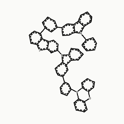 c1ccc(-n2c3ccccc3c3cc(-c4cccc(-c5cccc6sc7cc(-n8c9ccccc9c9cc(-c%10cccc(N%11c%12ccccc%12Oc%12ccccc%12%11)c%10)ccc98)ccc7c56)c4)ccc32)cc1